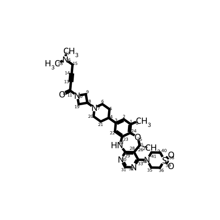 Cc1cc(C2CCN(C3CN(C(=O)C#CCN(C)C)C3)CC2)cc2c1O[C@H](C)c1c(ncnc1N1CCS(=O)(=O)CC1)N2